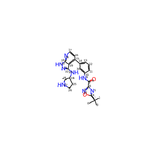 CC(C)(C)c1nc(C(=O)Nc2cccc(-c3ccnc4[nH]nc(NC5CCNC5)c34)c2)no1